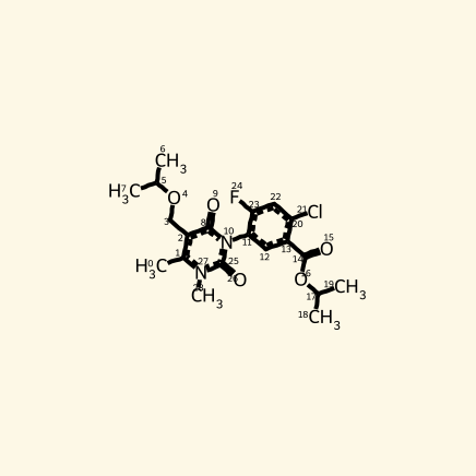 Cc1c(COC(C)C)c(=O)n(-c2cc(C(=O)OC(C)C)c(Cl)cc2F)c(=O)n1C